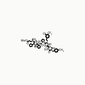 CCCN[C@@H](Cc1ccc(C)cc1)C(=O)N(CC)CC(=O)N[C@@H](CCc1ccc(C(F)(F)F)c(Cl)c1)C(=O)N1CCC[C@H]1C(=O)NC1(C(=O)N(C)[C@H](C(=O)N(C)CCC(=O)OC)C2CCCC2)CCCC1